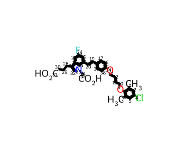 Cc1cc(Cl)cc(C)c1OC/C=C/COc1ccc(C=Cc2cc(F)cc3c(CCCC(=O)O)cn(CC(=O)O)c23)cc1